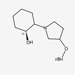 CCCCOC1CCN(C2CCCC[C@@H]2O)C1